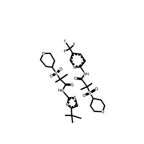 CC(C)(C(=O)Nc1ccc(C(F)(F)F)cn1)S(=O)(=O)C1CCOCC1.CC(C)(C)c1csc(NC(=O)C(C)(C)S(=O)(=O)C2CCOCC2)n1